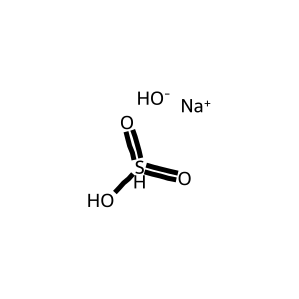 O=[SH](=O)O.[Na+].[OH-]